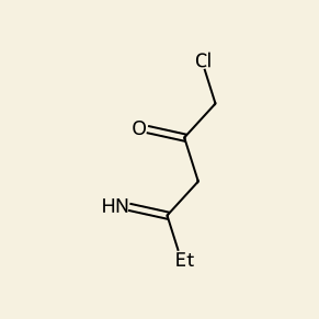 CCC(=N)CC(=O)CCl